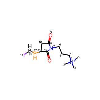 C[N+](C)(C)CCCN1C(=O)CC(PBI)C1=O